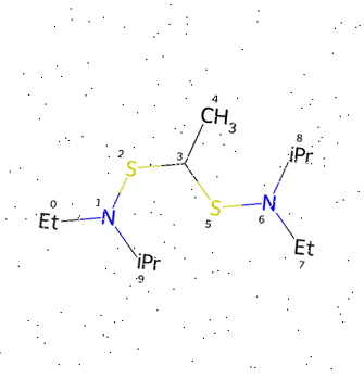 CCN(SC(C)SN(CC)C(C)C)C(C)C